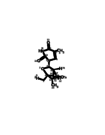 [2H]C[C@@]12O[C@@H](n3cc(C)c(=O)[nH]c3=O)[C@@H]([C@@H]1O)[S+]([O-])[C@H]2C